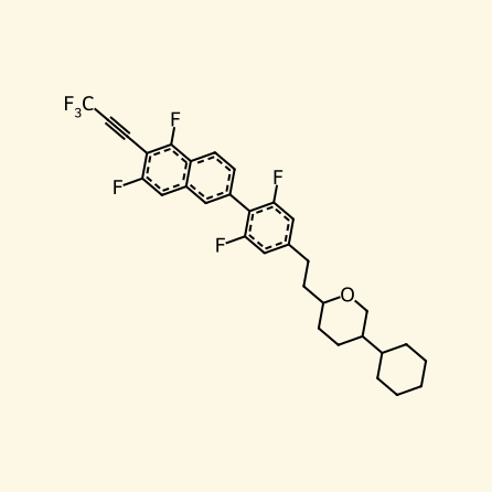 Fc1cc2cc(-c3c(F)cc(CCC4CCC(C5CCCCC5)CO4)cc3F)ccc2c(F)c1C#CC(F)(F)F